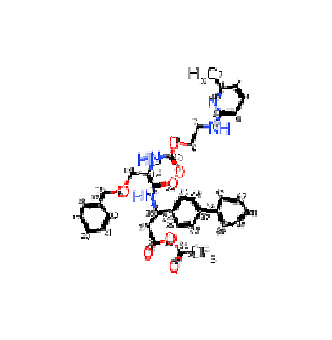 Cc1cccc(NCCOC(=O)NC(COCc2ccccc2)C(=O)NC(CC(=O)OC(=O)C(F)(F)F)c2ccc(-c3ccccc3)cc2)n1